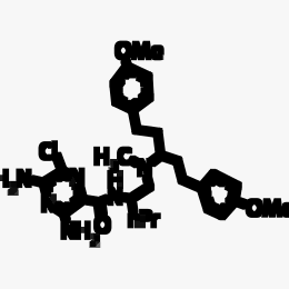 CCCC(CN(C)C(CCc1ccc(OC)cc1)CCc1ccc(OC)cc1)NC(=O)c1nc(Cl)c(N)nc1N